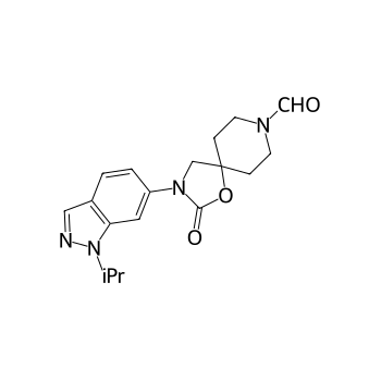 CC(C)n1ncc2ccc(N3CC4(CCN(C=O)CC4)OC3=O)cc21